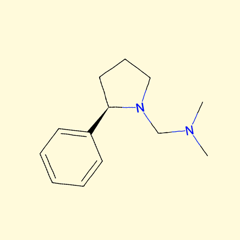 CN(C)CN1CCC[C@@H]1c1ccccc1